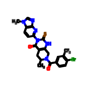 CC1Cc2c([nH]c(=S)n(-c3ccc4c(ncn4C)n3)c2=O)CN1C(=O)c1ccc(Br)c(C(F)(F)F)c1